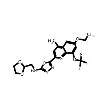 CCOc1cc(OC(F)(F)F)c2nc(-c3nnc(NCC4OCCO4)o3)cc(C)c2c1